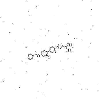 CN(C)C1CCN(c2ccc(-n3ccc(OCc4ccccc4)cc3=O)cn2)C1